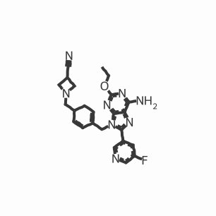 CCOc1nc(N)c2nc(-c3cncc(F)c3)n(CC3=CCC(CN4CC(C#N)C4)C=C3)c2n1